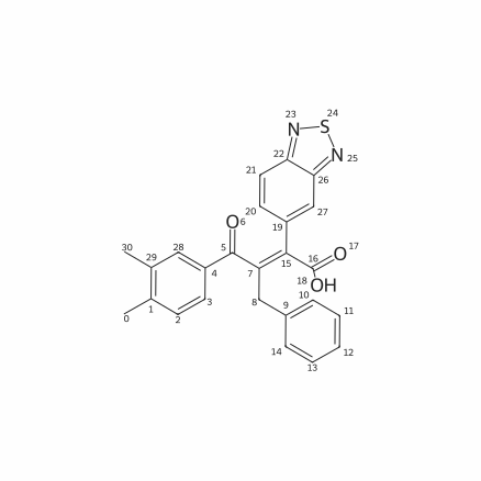 Cc1ccc(C(=O)C(Cc2ccccc2)=C(C(=O)O)c2ccc3nsnc3c2)cc1C